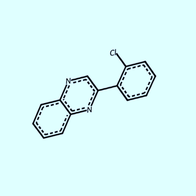 Clc1ccccc1-c1cnc2ccccc2n1